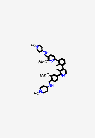 COc1cc(-c2nccc(-c3cccc(-c4ccc(CNC5CCN(C(C)=O)CC5)c(OC)n4)c3C)c2C)ccc1CNC1CCN(C(C)=O)CC1